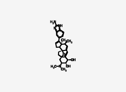 CC1C=C2C=C3[C@@H](O)[C@H](O)[C@@H](N(C)C)C[C@]34CC[C@]2(O4)C2CC=C(c3ccc4[nH]c(N)nc4c3)[C@@]12C